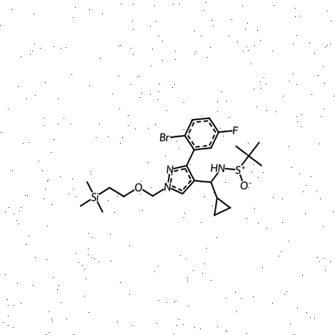 CC(C)(C)[S+]([O-])NC(c1cn(COCC[Si](C)(C)C)nc1-c1cc(F)ccc1Br)C1CC1